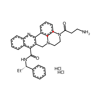 CC[C@H](NC(=O)c1c(CN2CCN(C(=O)CCN)CC2)c(-c2ccccc2)nc2ccccc12)c1ccccc1.Cl.Cl